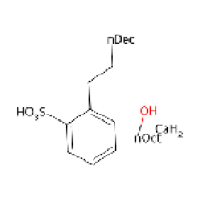 CCCCCCCCCCCCc1ccccc1S(=O)(=O)O.CCCCCCCCO.[CaH2]